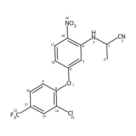 CC(C#N)Nc1cc(Oc2ccc(C(F)(F)F)cc2Cl)ccc1[N+](=O)[O-]